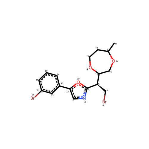 CC1CCOC([C@@H](CBr)c2ncc(-c3cccc(Br)c3)o2)CO1